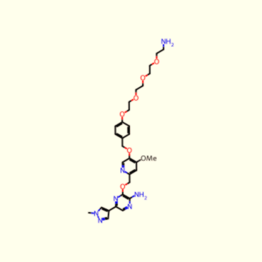 COc1cc(COc2nc(-c3cnn(C)c3)cnc2N)ncc1OCc1ccc(OCCOCCOCCOCCN)cc1